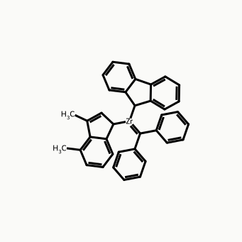 CC1=C[CH]([Zr](=[C](c2ccccc2)c2ccccc2)[CH]2c3ccccc3-c3ccccc32)c2cccc(C)c21